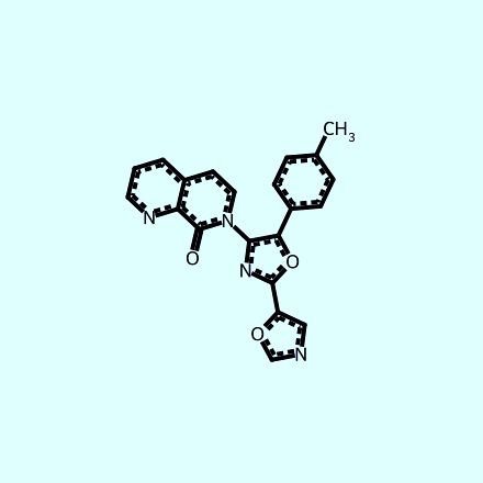 Cc1ccc(-c2oc(-c3cnco3)nc2-n2ccc3cccnc3c2=O)cc1